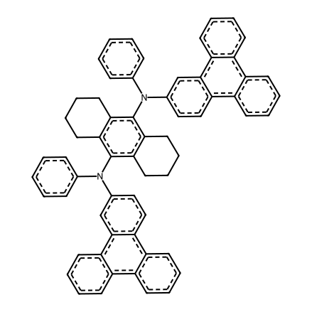 c1ccc(N(c2ccc3c4ccccc4c4ccccc4c3c2)c2c3c(c(N(c4ccccc4)c4ccc5c6ccccc6c6ccccc6c5c4)c4c2CCCC4)CCCC3)cc1